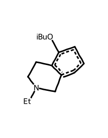 CCN1CCc2c(cccc2OCC(C)C)C1